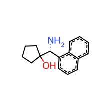 N[C@H](c1cccc2ccccc12)C1(O)CCCC1